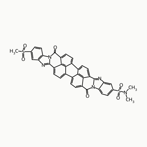 CN(C)S(=O)(=O)c1ccc2c(c1)nc1c3ccc4c5ccc6c(=O)n7c8ccc(S(C)(=O)=O)cc8nc7c7ccc(c8ccc(c(=O)n21)c3c84)c5c67